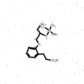 CCOC(=O)CCc1ccccc1OCC(CO)O[Si](C)(C)C(C)(C)C